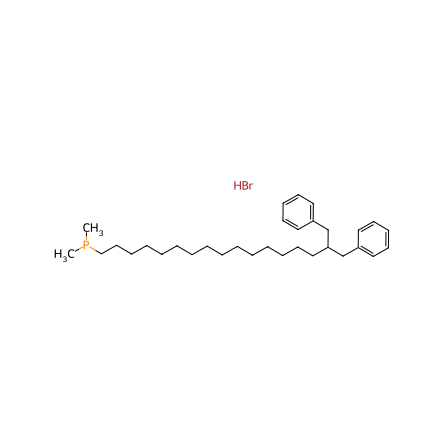 Br.CP(C)CCCCCCCCCCCCCCCC(Cc1ccccc1)Cc1ccccc1